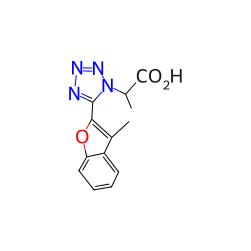 Cc1c(-c2nnnn2C(C)C(=O)O)oc2ccccc12